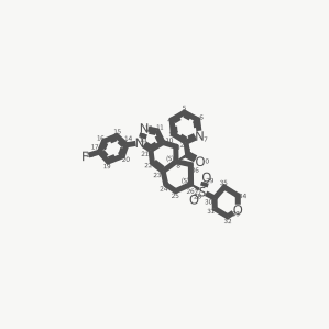 O=C(c1ccccn1)[C@]12Cc3cnn(-c4ccc(F)cc4)c3C=C1CC[C@H](S(=O)(=O)C1CCOCC1)C2